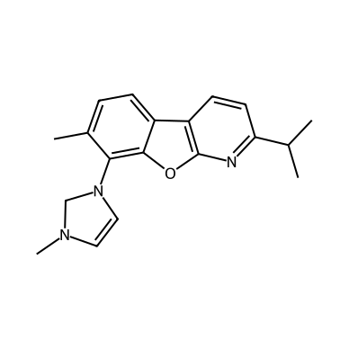 Cc1ccc2c(oc3nc(C(C)C)ccc32)c1N1C=CN(C)C1